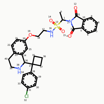 CC(N1C(=O)c2ccccc2C1=O)S(=O)(=O)NCCOc1ccc2c(c1)C(C1(c3ccc(Cl)cc3)CCC1)NCC2